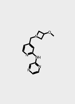 COC1CN(Cc2ccnc(Nc3cnccn3)c2)C1